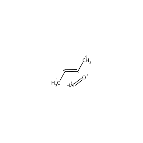 CC=CC.[O]=[AlH]